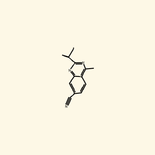 Cc1nc(C(C)C)nc2cc(C#N)ccc12